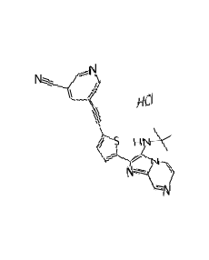 CC(C)(C)Nc1c(-c2ccc(C#Cc3cncc(C#N)c3)s2)nc2cnccn12.Cl